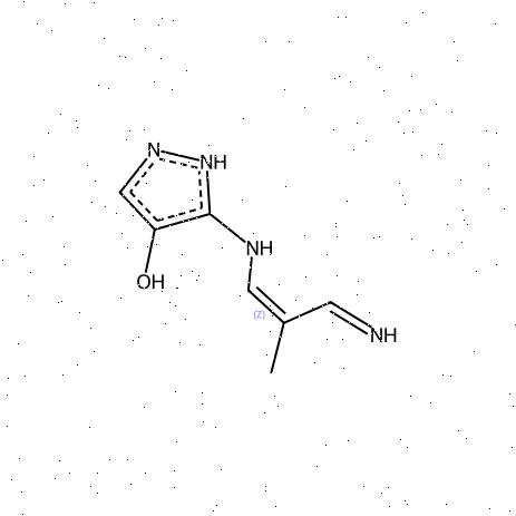 C/C(C=N)=C/Nc1[nH]ncc1O